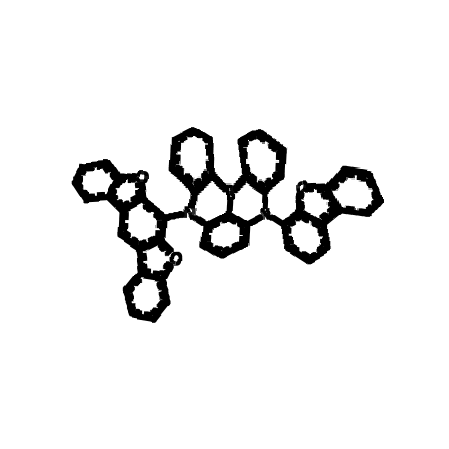 c1ccc2c(c1)B1c3ccccc3N(c3c4oc5ccccc5c4cc4c3oc3ccccc34)c3cccc(c31)N2c1cccc2c1oc1ccccc12